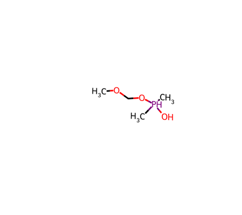 COCO[PH](C)(C)O